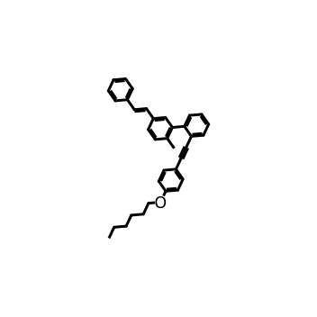 CCCCCCOc1ccc(C#Cc2ccccc2-c2cc(/C=C/c3ccccc3)ccc2C)cc1